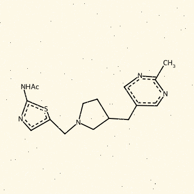 CC(=O)Nc1ncc(CN2CCC(Cc3cnc(C)nc3)C2)s1